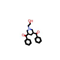 O=C(c1ccccc1)C1CC(C(=O)c2ccccc2)CN(CCO)C1